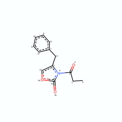 CCC(=O)n1c(Cc2ccccc2)coc1=O